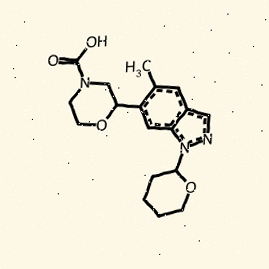 Cc1cc2cnn(C3CCCCO3)c2cc1C1CN(C(=O)O)CCO1